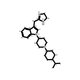 CC(C)C1CCC(N2CCC(n3cc(CC4=NCCN4)c4ccccc43)CC2)CC1